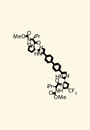 COC(=O)N[C@H](C(=O)N1CCC[C@H]1c1ncc(-c2ccc(-c3ccc(-c4cnc([C@@H]5C[C@H](C(F)(F)F)CN5C(=O)[C@@H](NC(=O)OC)C(C)C)[nH]4)cc3)cc2)[nH]1)C(C)C